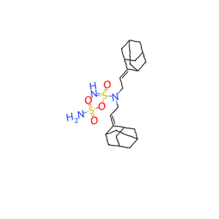 N=S(=O)(OS(N)(=O)=O)N(CC=C1C2CC3CC(C2)CC1C3)CC=C1C2CC3CC(C2)CC1C3